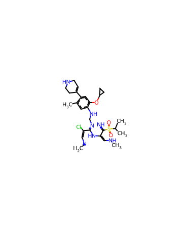 C=N/C=C(Cl)\C(=N/CNc1cc(C)c(C2=CCNCC2)cc1OC1CC1)N/C(=C/NC)C(=N)S(=O)(=O)C(C)C